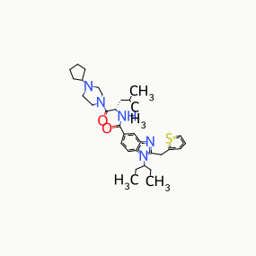 CCC(CC)n1c(Cc2cccs2)nc2cc(C(=O)N[C@@H](CC(C)C)C(=O)N3CCN(C4CCCC4)CC3)ccc21